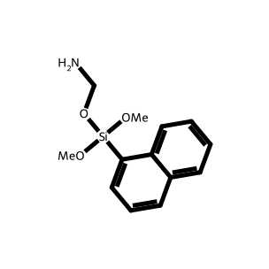 CO[Si](OC)(OCN)c1cccc2ccccc12